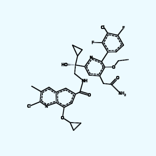 CCOc1c(CC(N)=O)cc([C@@](O)(CNC(=O)c2cc(OC3CC3)c3nc(Cl)c(C)cc3c2)C2CC2)nc1-c1ccc(F)c(Cl)c1F